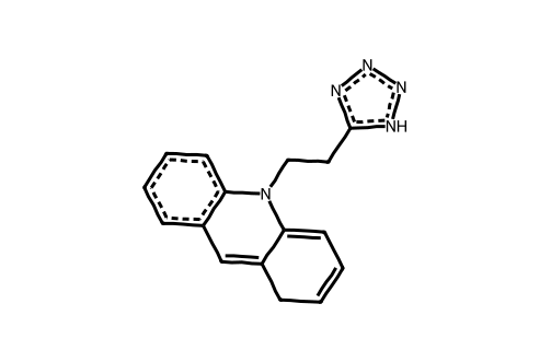 C1=CCC2=Cc3ccccc3N(CCc3nnn[nH]3)C2=C1